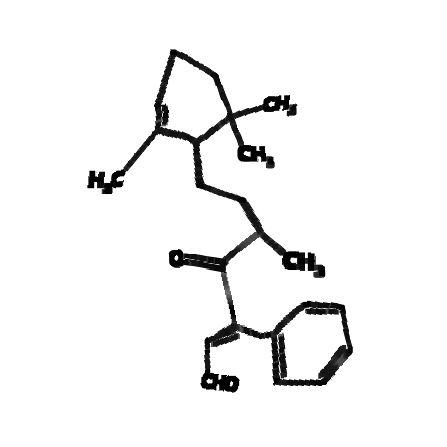 CC1=CCCC(C)(C)C1CCC(C)C(=O)C(=CC=O)c1ccccc1